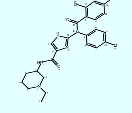 CCN1CCCC(NC(=O)c2csc(N(C(=O)c3ccc(Cl)cc3Cl)c3ccc(Cl)cc3)n2)C1